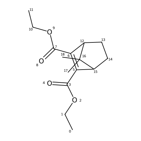 CCOC(=O)C1=C(C(=O)OCC)C2CCC1C2(C)C